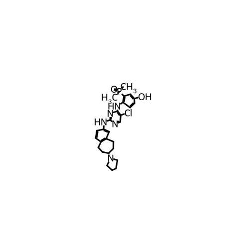 CP(C)(=O)c1cc(O)ccc1Nc1nc(Nc2ccc3c(c2)CC[C@@H](N2CCCC2)CC3)ncc1Cl